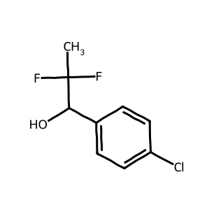 CC(F)(F)C(O)c1ccc(Cl)cc1